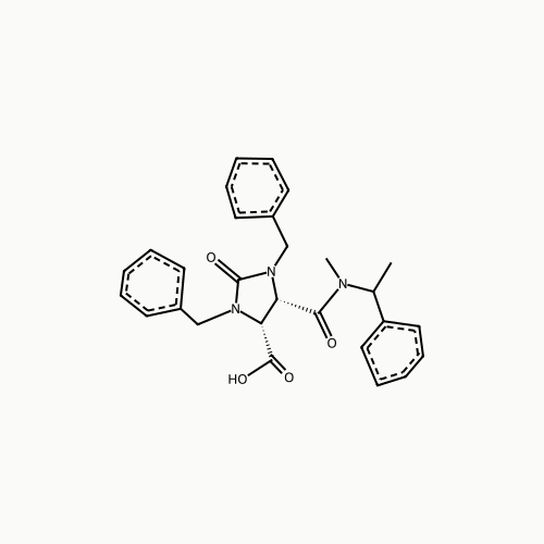 CC(c1ccccc1)N(C)C(=O)[C@@H]1[C@H](C(=O)O)N(Cc2ccccc2)C(=O)N1Cc1ccccc1